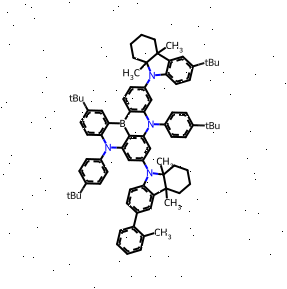 Cc1ccccc1-c1ccc2c(c1)C1(C)CCCCC1(C)N2c1cc2c3c(c1)N(c1ccc(C(C)(C)C)cc1)c1cc(N4c5ccc(C(C)(C)C)cc5C5(C)CCCCC45C)ccc1B3c1cc(C(C)(C)C)ccc1N2c1ccc(C(C)(C)C)cc1